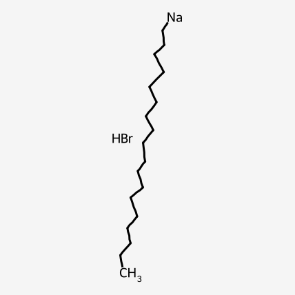 Br.CCCCCCCCCCCCCCCCC[CH2][Na]